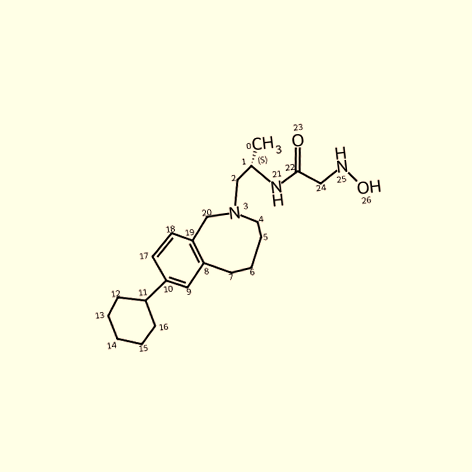 C[C@@H](CN1CCCCc2cc(C3CCCCC3)ccc2C1)NC(=O)CNO